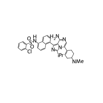 CNC1CC=C(c2cnc(N)c3c(-c4cccc5c(NS(=O)(=O)c6ccccc6Cl)cccc45)nc(C(C)C)n23)CC1